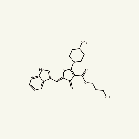 CC1CCN(C2=C(C(=O)OCCCO)C(=O)C(=Cc3c[nH]c4ncccc34)O2)CC1